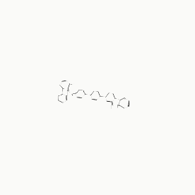 Cc1cccc2c3ccccc3n(-c3ccc(-c4ccc(-c5ccc6c(c5)oc5ccccc56)cc4)cc3)c12